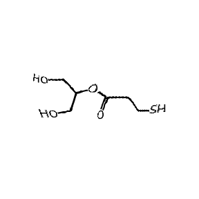 O=C(CCS)OC(CO)CO